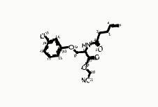 C=CCCC(=O)NC(COc1cccc(Cl)c1)C(=O)OCC#N